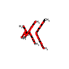 CCCCCCCCCCCCCCC=Cc1cc(C=CCCCCCCCCCCCCCC)cc(C(=C(C)C(=C=[N+]=[N-])CCCC)c2cc(CCCCCCCC)cc(CCCCCCCC)c2)c1.CCCCCCCCCCCCCCCCCCCCC=[CH][Ni][CH]=CCCCCCCCCCCCCCCCCCCCC